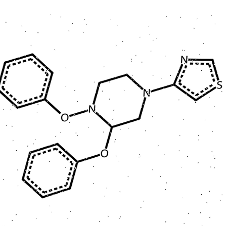 [c]1scnc1N1CCN(Oc2ccccc2)C(Oc2ccccc2)C1